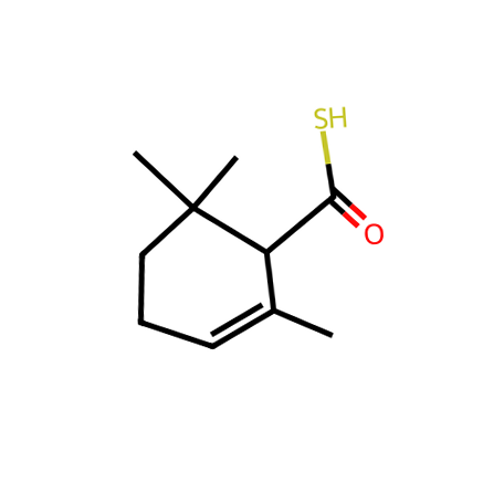 CC1=CCCC(C)(C)C1C(=O)S